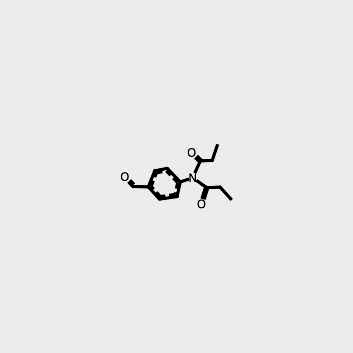 CCC(=O)N(C(=O)CC)c1ccc(C=O)cc1